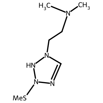 CSN1N=CN(CCN(C)C)N1